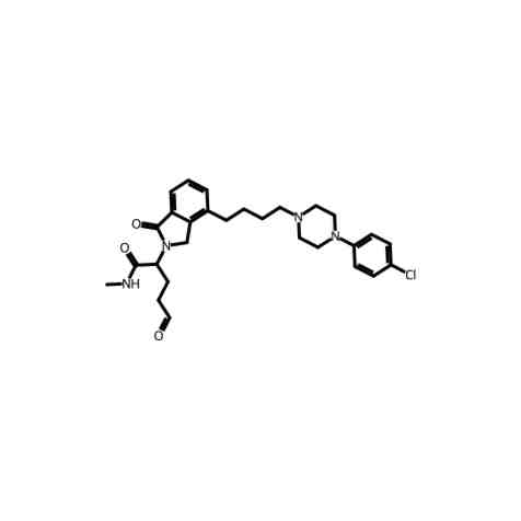 CNC(=O)C(CCC=O)N1Cc2c(CCCCN3CCN(c4ccc(Cl)cc4)CC3)cccc2C1=O